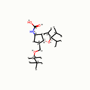 CC(C)[Si](O[C@H]1C[C@H](NC(=O)O)C[C@@H]1CO[Si](C)(C)C(C)(C)C)(C(C)C)C(C)C